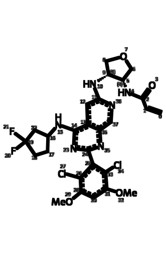 C=CC(=O)N[C@H]1COC[C@H]1Nc1cc2c(NC3CCC(F)(F)C3)nc(-c3c(Cl)c(OC)cc(OC)c3Cl)nc2cn1